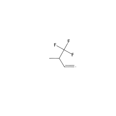 [CH]=CC(C)C(F)(F)F